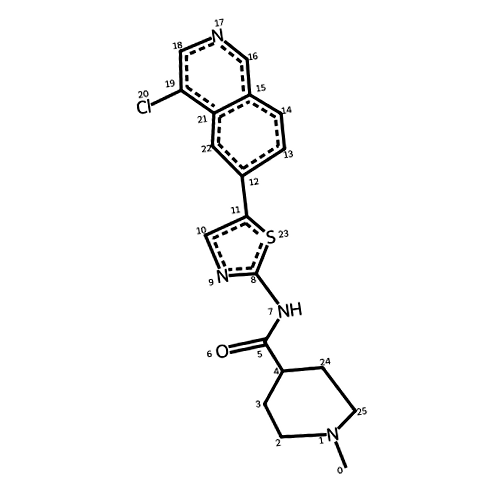 CN1CCC(C(=O)Nc2ncc(-c3ccc4cncc(Cl)c4c3)s2)CC1